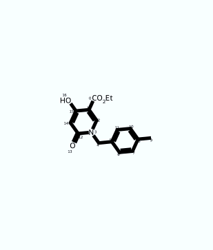 CCOC(=O)c1cn(Cc2ccc(C)cc2)c(=O)cc1O